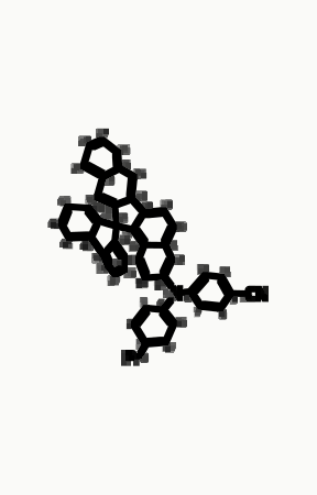 CC(C)c1ccc(N(c2ccc(C#N)cc2)c2ccc3c4c(ccc3c2)-c2cc3ccccc3cc2C42c3ccccc3-c3ccccc32)cc1